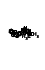 CN(C)c1cc2c(Nc3ccc4c(ccn4S(=O)(=O)c4ccccc4)c3)ncnc2cn1